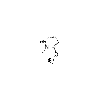 [CH2]N1NC=CC=C1OC(C)(C)C